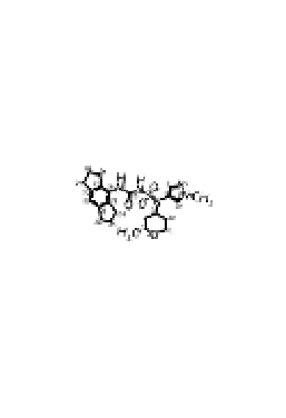 C[C@@H]1CC(N(c2cnn(C)c2)S(=O)(=O)NC(=O)Nc2c3c(cc4c2CCC4)CCC3)CCO1